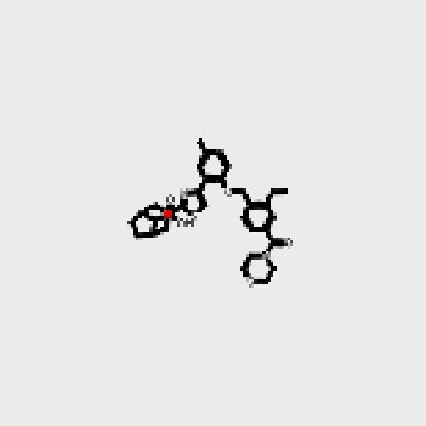 CCc1cc(C(=O)N2CCOCC2)ccc1COc1ccc(C)cc1-c1csc(N2CC3CCC(C2)C3C(=O)O)n1